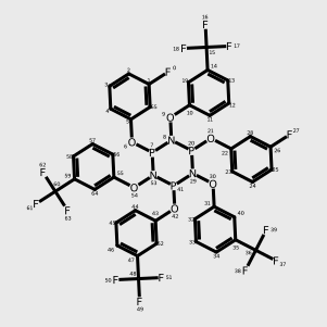 Fc1cccc(OP2N(Oc3cccc(C(F)(F)F)c3)P(Oc3cccc(F)c3)N(Oc3cccc(C(F)(F)F)c3)P(Oc3cccc(C(F)(F)F)c3)N2Oc2cccc(C(F)(F)F)c2)c1